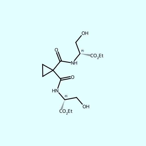 CCOC(=O)[C@@H](CO)NC(=O)C1(C(=O)N[C@H](CO)C(=O)OCC)CC1